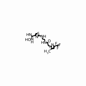 Cc1cc(C(F)(F)F)nn1CC(=O)NCCNc1nc(C(=N)NO)cs1